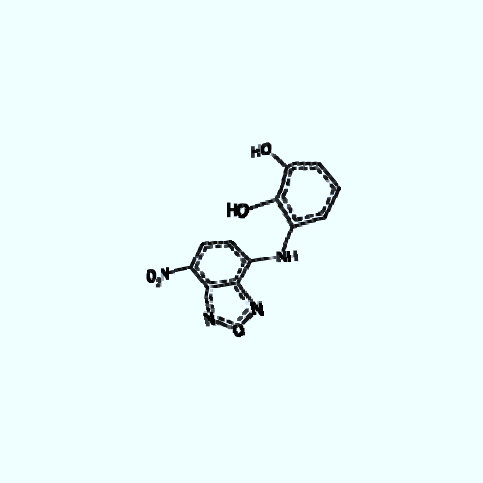 O=[N+]([O-])c1ccc(Nc2cccc(O)c2O)c2nonc12